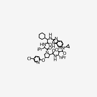 CCC[C@@H](NC(=O)C1C[C@@H](Oc2ccc(Cl)cn2)CN1C(=O)C(NC(=O)C(Nc1nc2ccccc2[nH]1)C1CCCCC1)C(C)C)C(=O)C(=O)NC1CC1